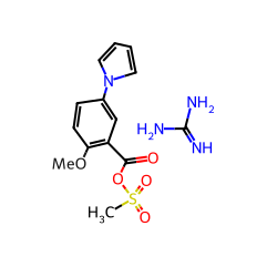 COc1ccc(-n2cccc2)cc1C(=O)OS(C)(=O)=O.N=C(N)N